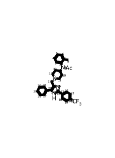 CC(=O)N(c1ccccc1C)C1CCN(Cc2nc(-c3ccc(C(F)(F)F)cc3)[nH]c2-c2ccccc2)CC1